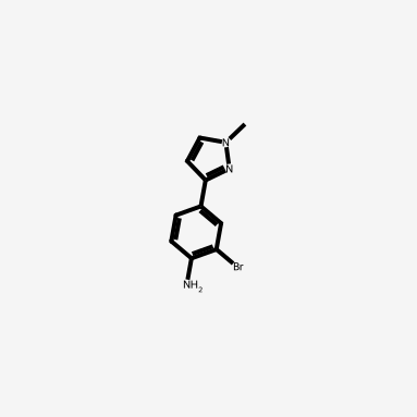 Cn1ccc(-c2ccc(N)c(Br)c2)n1